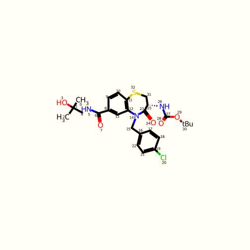 CC(C)(O)CNC(=O)c1ccc2c(c1)N(Cc1ccc(Cl)cc1)C(=O)[C@@H](NC(=O)OC(C)(C)C)CS2